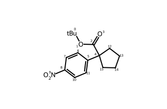 CC(C)(C)OC(=O)C1(c2ccc([N+](=O)[O-])cc2)CCCC1